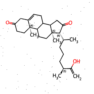 C=C(O)[C@@H](C)CCCC(C)[C@H]1C(=O)CC2C3CC=C4CC(=O)CC[C@]4(C)C3CC[C@@]21C